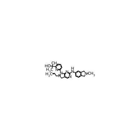 C=CCN1Cc2cnc(Nc3ccc4c(c3)CN(C)C4)nc2N1c1cccc(C(C)(C)O)n1